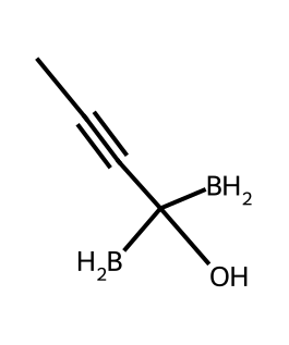 BC(B)(O)C#CC